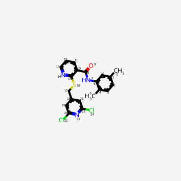 Cc1ccc(C)c(NC(=O)c2cccnc2SCc2cc(Cl)nc(Cl)c2)c1